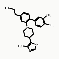 Cc1ccc(-c2ccc(CCN)cc2N2CCC(c3[nH]cnc3C)CC2)cc1C